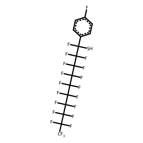 Fc1ccc(C(F)(S)C(F)(F)C(F)(F)C(F)(F)C(F)(F)C(F)(F)C(F)(F)C(F)(F)C(F)(F)C(F)(F)F)cc1